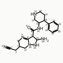 N#CCC1CN=C2C(C(=O)NC3CNCCC3c3ccccc3)C(N)NN2C1